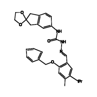 Cc1cc(OCc2ccccc2)c(/C=N/NC(=O)Nc2ccc3c(c2)CC2(C3)OCCO2)cc1C(C)C